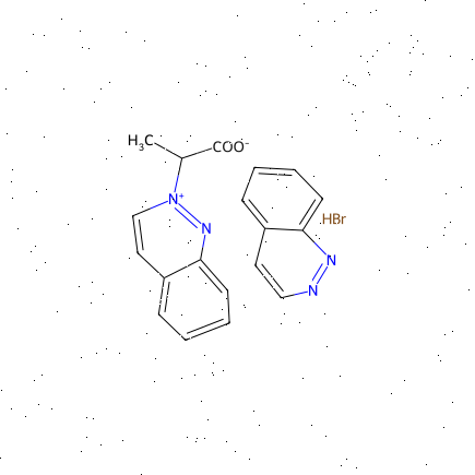 Br.CC(C(=O)[O-])[n+]1ccc2ccccc2n1.c1ccc2nnccc2c1